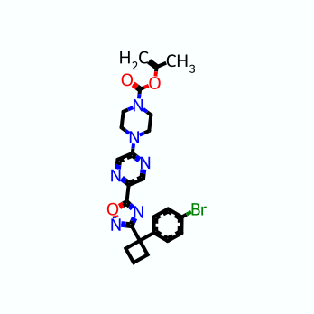 C=C(C)OC(=O)N1CCN(c2cnc(-c3nc(C4(c5ccc(Br)cc5)CCC4)no3)cn2)CC1